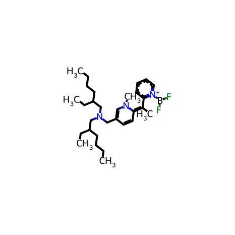 CCCCC(CC)CN(CC1=CN(C)/C(=C(/C)c2cccc[n+]2B(F)F)C=C1)CC(CC)CCCC